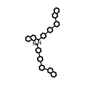 c1cc(-c2ccc(-c3ccc(-c4nc(-c5ccc(-c6ccc(-c7cccc(-c8ccc9ccccc9c8)c7)cc6)cc5)c5ccc6ccccc6c5n4)cc3)cc2)cc(-c2ccc3ccccc3c2)c1